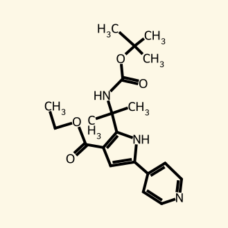 CCOC(=O)c1cc(-c2ccncc2)[nH]c1C(C)(C)NC(=O)OC(C)(C)C